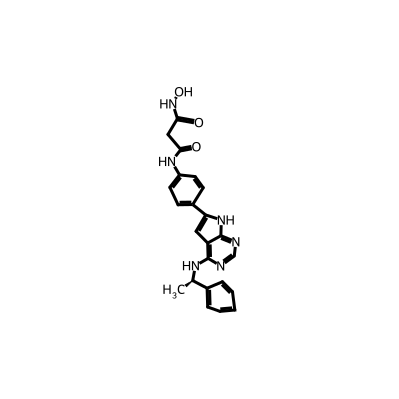 C[C@@H](Nc1ncnc2[nH]c(-c3ccc(NC(=O)CC(=O)NO)cc3)cc12)c1ccccc1